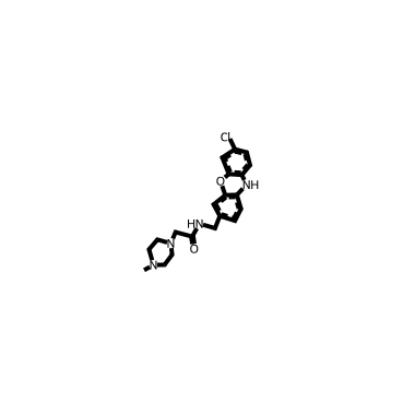 CN1CCN(CC(=O)NCc2ccc3c(c2)Oc2cc(Cl)ccc2N3)CC1